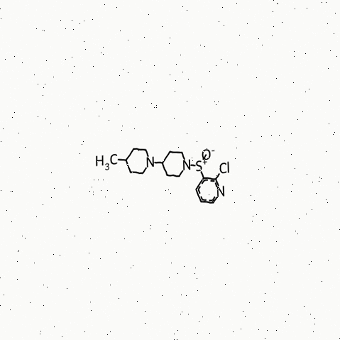 CC1CCN(C2CCN([S+]([O-])c3cccnc3Cl)CC2)CC1